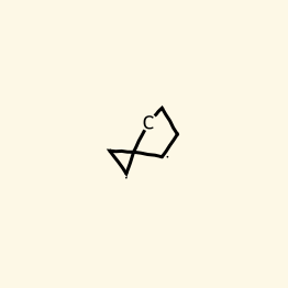 [CH]1CCCC12[CH]C2